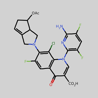 CC(=O)OC1CC=C2CN(c3c(F)cc4c(=O)c(C(=O)O)cn(-c5nc(N)c(F)cc5F)c4c3Cl)CC21